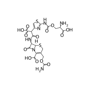 NC(=O)OCC1=C(C(=O)O)N2C(=O)[C@@H](NC(=O)C(c3csc(NC(=O)OC[C@@H](N)C(=O)O)n3)S(=O)(=O)O)[C@H]2SC1